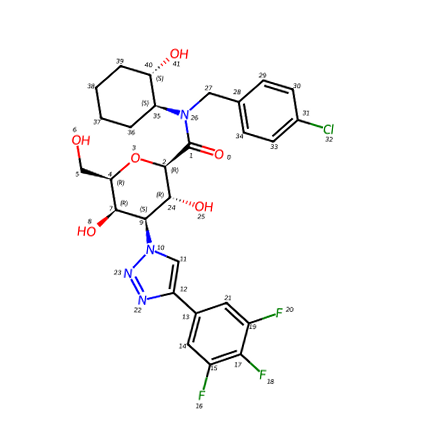 O=C([C@@H]1O[C@H](CO)[C@H](O)[C@H](n2cc(-c3cc(F)c(F)c(F)c3)nn2)[C@H]1O)N(Cc1ccc(Cl)cc1)[C@H]1CCCC[C@@H]1O